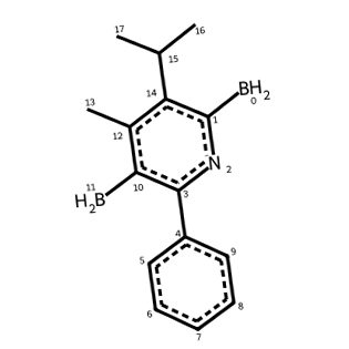 Bc1nc(-c2ccccc2)c(B)c(C)c1C(C)C